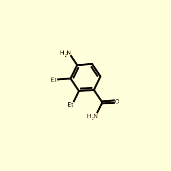 CCc1c(N)ccc(C(N)=O)c1CC